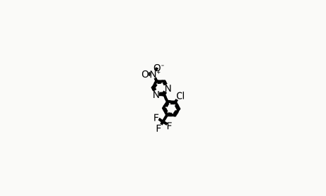 O=[N+]([O-])c1cnc(-c2cc(C(F)(F)F)ccc2Cl)nc1